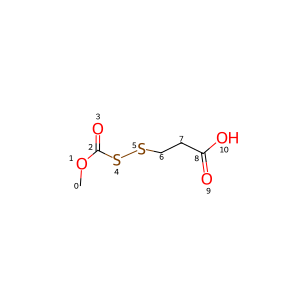 COC(=O)SSCCC(=O)O